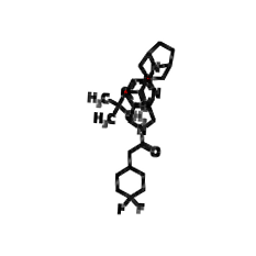 CC(C)(C)OC(=O)N1CC2CCC(C1)N2c1ccc2c(n1)CN(C(=O)CC1CCC(F)(F)CC1)C2